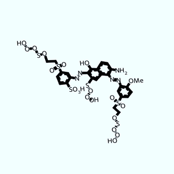 COc1ccc(S(=O)(=O)CCOSOOO)cc1/N=N/c1c(N)ccc2c(O)c(/N=N/c3cc(S(=O)(=O)CCOSOOO)ccc3S(=O)(=O)O)c(SOOO)cc12